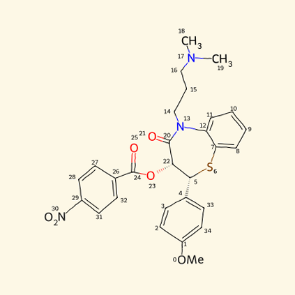 COc1ccc([C@H]2Sc3ccccc3N(CCCN(C)C)C(=O)[C@H]2OC(=O)c2ccc([N+](=O)[O-])cc2)cc1